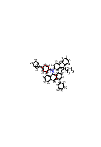 CC1(C)c2ccccc2-c2ccc(N(c3ccc(C4CC5CCC4C5)cc3)c3cccc4cccc(C5CCCCC5)c34)c(-c3ccc(-c4ccccc4)cc3)c21